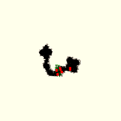 Cc1ccc(C(c2ccccc2)(c2ccccc2)c2ccc(CCc3ccc(Cc4ccc(Cc5ccc(C(c6ccc(CCc7ccc(C8(c9ccc(C)cc9)c9ccccc9-c9ccccc98)cc7)cc6)(C(F)(F)F)C(F)(F)F)cc5)cc4)cc3)cc2)cc1